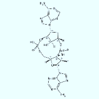 Nc1ncnc2c1ncn2[C@@H]1C[C@@H]2OP(=O)(S)[C@H]3[C@@H](F)[C@H](n4cnc5c(N)ncnc54)O[C@@H]3CSP(=O)(O)O[C@@H]1[C@@H]2O